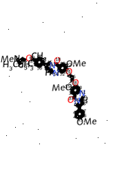 CNC(C)(C)CCOC(C)(C)c1ccc(C2=CN3C(=O)c4cc(OC)c(OCCCOc5cc6c(cc5OC)C(=O)N5C=C(c7ccc(OC)cc7)C[C@H]5C=N6)cc4N=C[C@@H]3C2)cc1